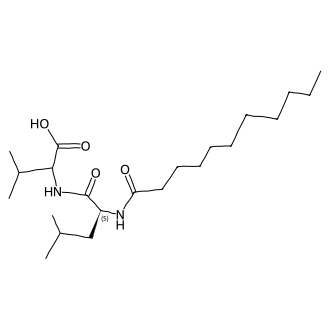 CCCCCCCCCCC(=O)N[C@@H](CC(C)C)C(=O)NC(C(=O)O)C(C)C